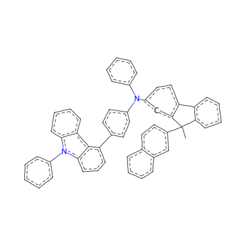 CC1(c2ccc3ccccc3c2)c2ccccc2-c2ccc(N(c3ccccc3)c3ccc(-c4cccc5c4c4ccccc4n5-c4ccccc4)cc3)cc21